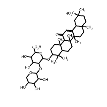 CC1(C(=O)O)CCC2(C)CCC3(C)C(=CC(=O)C4C5(C)CCC(OC6OC(C(=O)O)C(O)C(O)C6OC6OCC(O)C(O)C6O)C(C)(C)C5CCC43C)C2C1